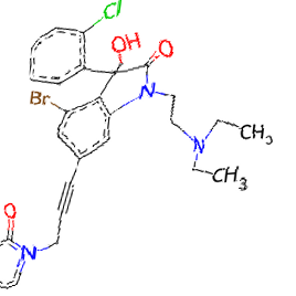 CCN(CC)CCN1C(=O)C(O)(c2ccccc2Cl)c2c(Br)cc(C#CCn3ccoc3=O)cc21